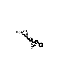 CN(C)CCCNCc1cc(-c2nc(Cl)nc3c2ccn3-c2ccccc2)cs1